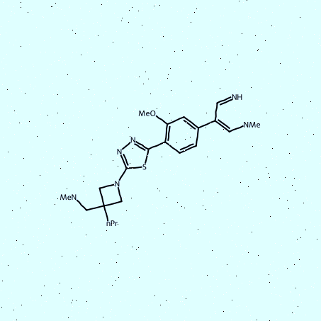 CCCC1(CNC)CN(c2nnc(-c3ccc(/C(C=N)=C/NC)cc3OC)s2)C1